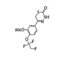 COc1cc(C2=NNC(=O)SC2)ccc1OC(F)(F)CF